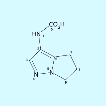 O=C(O)Nc1cnn2c1CCC2